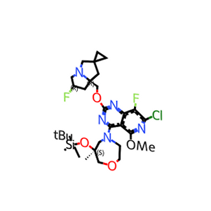 COc1nc(Cl)c(F)c2nc(OC[C@@]34C[C@@H](F)CN3CC3(CC3)C4)nc(N3CCOC[C@@](C)(O[Si](C)(C)C(C)(C)C)C3)c12